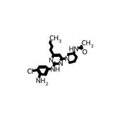 CCCCc1cc(N2CCCC(NC(C)=O)C2)nc(Nc2ccc(Cl)c(N)c2)n1